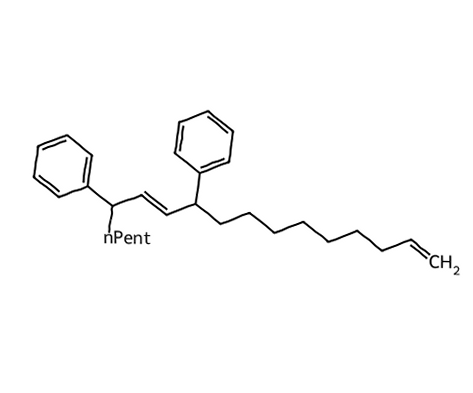 C=CCCCCCCCC(C=CC(CCCCC)c1ccccc1)c1ccccc1